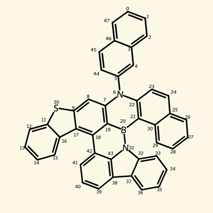 c1ccc2cc(N3c4cc5sc6ccccc6c5c5c4B(c4c3ccc3ccccc43)n3c4ccccc4c4cccc-5c43)ccc2c1